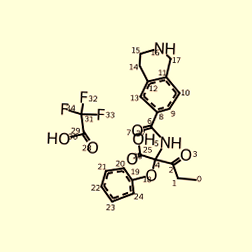 CCC(=O)C(NC(=O)c1ccc2c(c1)CCNC2)(Oc1ccccc1)C(=O)O.O=C(O)C(F)(F)F